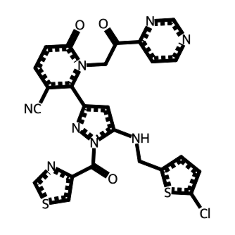 N#Cc1ccc(=O)n(CC(=O)c2ccncn2)c1-c1cc(NCc2ccc(Cl)s2)n(C(=O)c2cscn2)n1